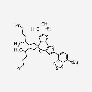 CCC(C)(C)c1cc2c(s1)-c1sc(-c3ccc(C(C)(C)C)c4nsnc34)cc1OC2(CCC(C)CCCC(C)C)CCC(C)CCCC(C)C